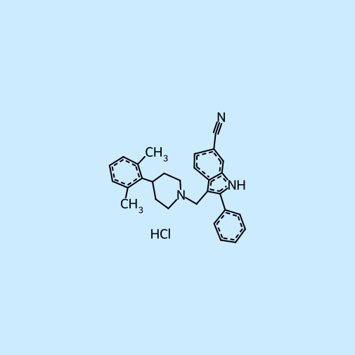 Cc1cccc(C)c1C1CCN(Cc2c(-c3ccccc3)[nH]c3cc(C#N)ccc23)CC1.Cl